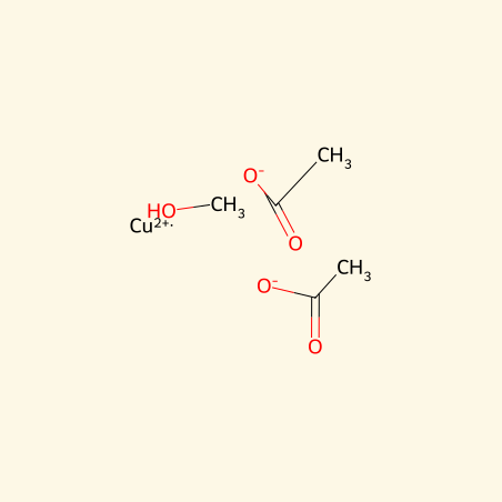 CC(=O)[O-].CC(=O)[O-].CO.[Cu+2]